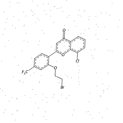 O=c1cc(-c2ccc(C(F)(F)F)cc2OCCBr)oc2c(Cl)cccc12